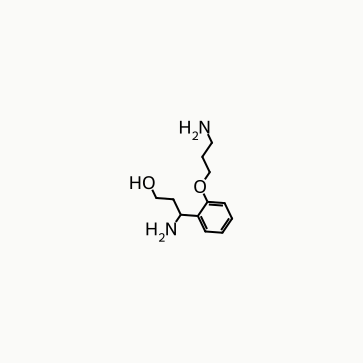 NCCCOc1ccccc1C(N)CCO